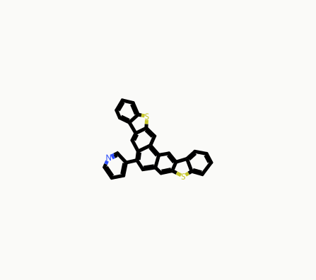 c1cncc(-c2cc3cc4sc5ccccc5c4cc3c3cc4sc5ccccc5c4cc23)c1